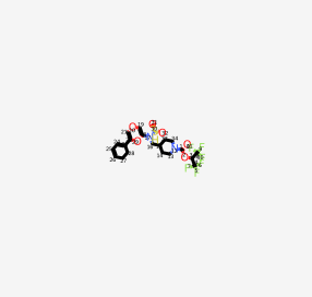 O=C(OC(C(F)(F)F)C(F)(F)F)N1CCC(CN(C2=COC=C(C3=CC=CCC3)O2)[SH](=O)=O)CC1